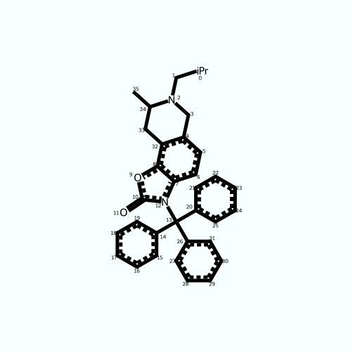 CC(C)CN1Cc2ccc3c(oc(=O)n3C(c3ccccc3)(c3ccccc3)c3ccccc3)c2CC1C